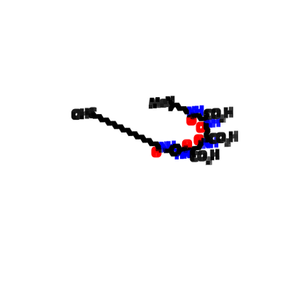 CNC(C)CCCCNC(=O)CCC(NC(=O)CC[C@H](NC(=O)CCC(NC(=O)C1CCC(CNC(=O)CCCCCCCCCCCCCCCCCCC=O)CC1)C(=O)O)C(=O)O)C(=O)O